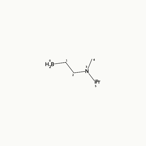 BCCN(C)C(C)C